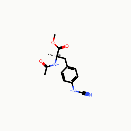 COC(=O)[C@@](C)(Cc1ccc(NC#N)cc1)NC(C)=O